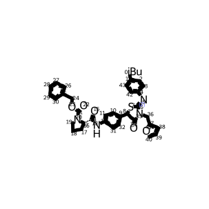 CCC(C)c1ccc(/N=C2\SC(c3ccc(NC(=O)[C@@H]4CCCN4C(=O)OCc4ccccc4)cc3)C(=O)N2Cc2ccco2)cc1